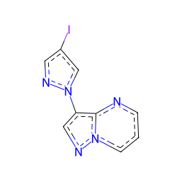 Ic1cnn(-c2cnn3cccnc23)c1